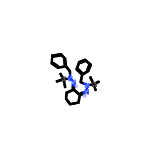 C[Si](C)(C)N(Cc1ccccc1)/N=C1/CCCC/C1=N\N(Cc1ccccc1)[Si](C)(C)C